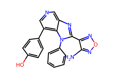 Nc1nonc1-c1nc2cncc(-c3ccc(O)cc3)c2n1-c1ccccc1